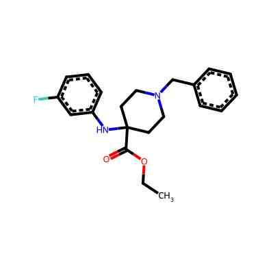 CCOC(=O)C1(Nc2cccc(F)c2)CCN(Cc2ccccc2)CC1